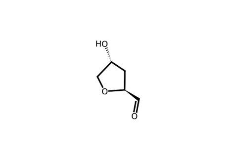 O=C[C@@H]1C[C@@H](O)CO1